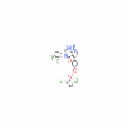 NC[C@H]1NCCC(c2ccc(OCCOc3c(Cl)cccc3Cl)cc2)=C1C(=O)N(Cc1cccc(Cl)c1Cl)C1CC1